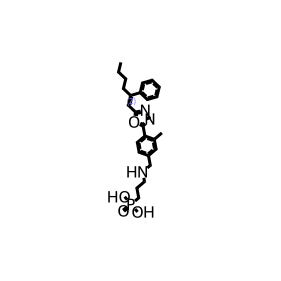 CCCC/C(=C/c1nnc(-c2ccc(CNCCCP(=O)(O)O)cc2C)o1)c1ccccc1